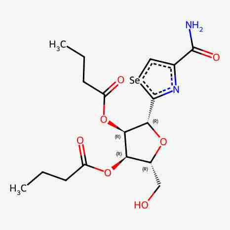 CCCC(=O)O[C@@H]1[C@H](OC(=O)CCC)[C@@H](CO)O[C@H]1c1nc(C(N)=O)c[se]1